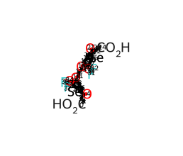 O=C(O)CCC(=O)c1cc2cc(OCCCOc3cc4cc(C(=O)CCC(=O)O)[se]c4cc3OC(F)F)c(OC(F)F)cc2[se]1